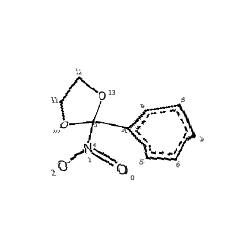 O=[N+]([O-])C1(c2ccccc2)OCCO1